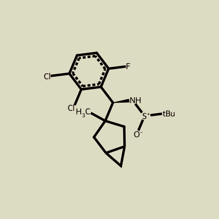 CC1([C@H](N[S+]([O-])C(C)(C)C)c2c(F)ccc(Cl)c2Cl)CC2CC2C1